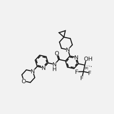 C[C@@](O)(c1ccc(C(=O)Nc2cccc(N3CCOCC3)n2)c(N2CCC3(CC2)CC3)n1)C(F)(F)F